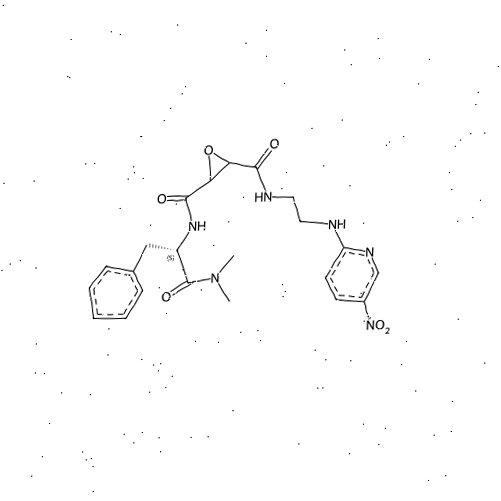 CN(C)C(=O)[C@H](Cc1ccccc1)NC(=O)C1OC1C(=O)NCCNc1ccc([N+](=O)[O-])cn1